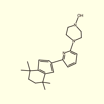 CC1(C)CCC(C)(C)c2cc(-c3cccc(N4CCN(O)CC4)n3)ccc21